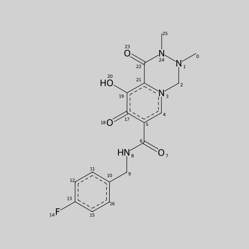 CN1Cn2cc(C(=O)NCc3ccc(F)cc3)c(=O)c(O)c2C(=O)N1C